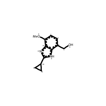 COc1ccc(CO)c2[nH]c(C3CC3)nc12